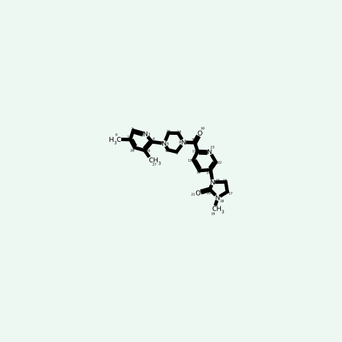 Cc1cnc(N2CCN(C(=O)c3ccc(N4CCN(C)C4=O)cn3)CC2)c(C)c1